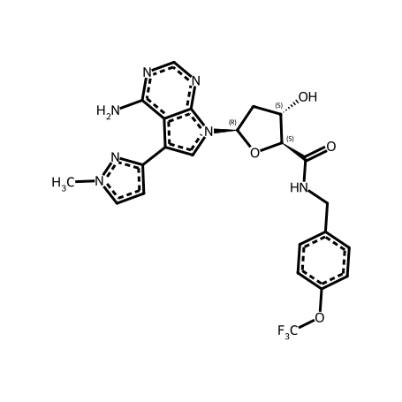 Cn1ccc(-c2cn([C@H]3C[C@H](O)[C@@H](C(=O)NCc4ccc(OC(F)(F)F)cc4)O3)c3ncnc(N)c23)n1